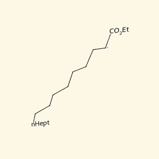 CCCCCCCCCCCCCC[CH]C(=O)OCC